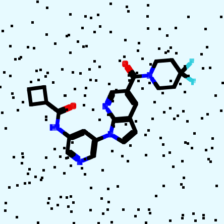 O=C(Nc1cncc(-n2ccc3cc(C(=O)N4CCC(F)(F)CC4)cnc32)c1)C1CCC1